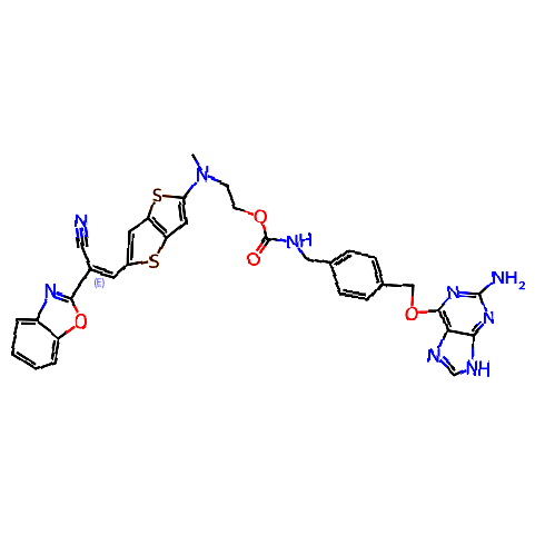 CN(CCOC(=O)NCc1ccc(COc2nc(N)nc3[nH]cnc23)cc1)c1cc2sc(/C=C(\C#N)c3nc4ccccc4o3)cc2s1